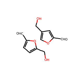 O=Cc1cc(CO)co1.O=Cc1ccc(CO)o1